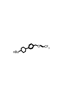 CCCCC1CCC(c2ccc(COC=CC(F)(F)F)cc2)CC1